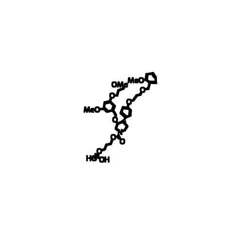 COCCCOc1cc(COC2CN(C(=O)OCCCON(O)O)CC[C@@H]2c2ccc(OCCCOCc3ccccc3OC)cc2)cc(OC)c1